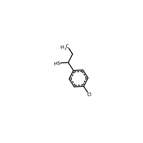 CCC(S)c1ccc(Cl)cc1